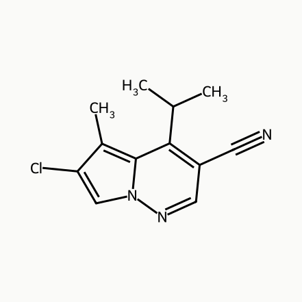 Cc1c(Cl)cn2ncc(C#N)c(C(C)C)c12